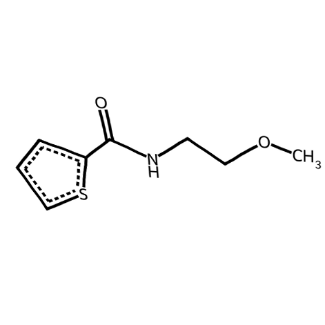 COCCNC(=O)c1cccs1